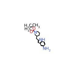 CC(C)(C)OC(=O)N1CCCC(Cc2cc3cc(N)ccc3[nH]2)C1